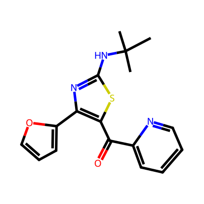 CC(C)(C)Nc1nc(-c2ccco2)c(C(=O)c2ccccn2)s1